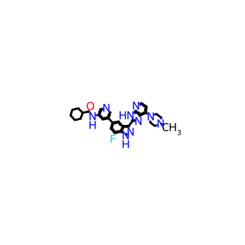 CN1CCN(c2ccnc3[nH]c(-c4n[nH]c5c(F)cc(-c6cncc(NC(=O)C7CCCCC7)c6)cc45)nc23)CC1